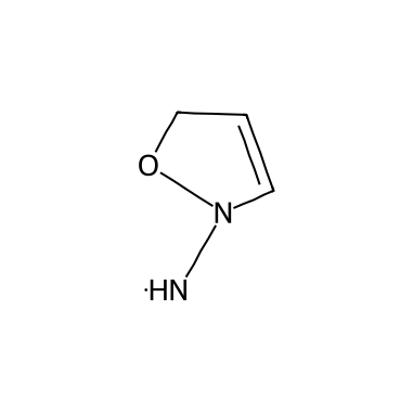 [NH]N1C=CCO1